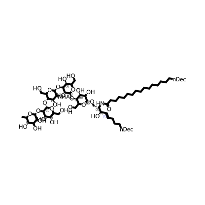 CCCCCCCCCCCCC/C=C/[C@@H](O)[C@H](CO[C@@H]1OC(CO)[C@@H](O[C@@H]2OC(CO)[C@H](O)[C@H](O[C@@H]3OC(CO)[C@@H](O[C@@H]4OC(CO)[C@H](O)[C@H](O)C4O[C@H]4OC(C)[C@@H](O)C(O)[C@@H]4O)[C@H](O)C3NC(C)=O)C2O)[C@H](O)C1O)NC(=O)CCCCCCCCCCCCCCCCCCCCCCCCC